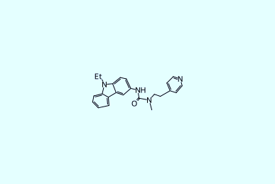 CCn1c2ccccc2c2cc(NC(=O)N(C)CCc3ccncc3)ccc21